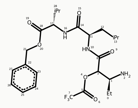 CC[C@H](N)C(OC(=O)C(F)(F)F)C(=O)N[C@H](CC(C)C)C(=O)N[C@H](C(=O)OCc1ccccc1)C(C)C